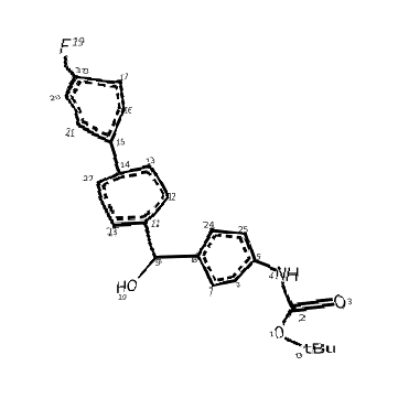 CC(C)(C)OC(=O)Nc1ccc(C(O)c2ccc(-c3ccc(F)cc3)cc2)cc1